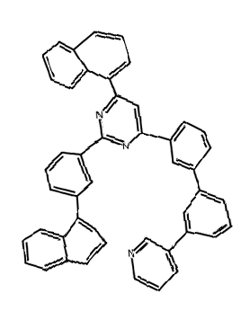 c1cncc(-c2cccc(-c3cccc(-c4cc(-c5cccc6ccccc56)nc(-c5cccc(-c6cccc7ccccc67)c5)n4)c3)c2)c1